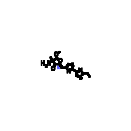 CCc1nc(-c2nc(/C=C/C(=O)C(C)(N)C(=O)OC)cs2)cs1